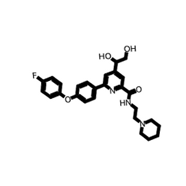 O=C(NCCN1CCCCC1)c1cc(C(O)CO)cc(-c2ccc(Oc3ccc(F)cc3)cc2)n1